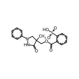 CC1(COC(=O)c2ccccc2S(=O)(=O)O)CN(c2ccccc2)NC1=O